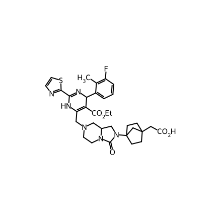 CCOC(=O)C1=C(CN2CCN3C(=O)N(C45CCC(CC(=O)O)(CC4)C5)CC3C2)NC(c2nccs2)=NC1c1cccc(F)c1C